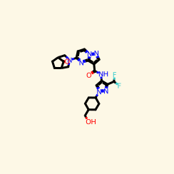 O=C(Nc1cn(C2CCC(CO)CC2)nc1C(F)F)c1cnn2ccc(N3CC4CCC(C3)C4=O)nc12